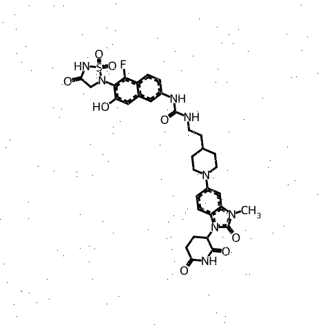 Cn1c(=O)n(C2CCC(=O)NC2=O)c2ccc(N3CCC(CCNC(=O)Nc4ccc5c(F)c(N6CC(=O)NS6(=O)=O)c(O)cc5c4)CC3)cc21